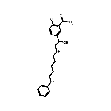 NC(=O)c1cc(C(O)CNCCCCCNc2ccccc2)ccc1O